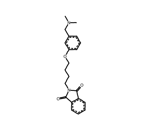 CN(C)Cc1cccc(OCCCCN2C(=O)c3ccccc3C2=O)c1